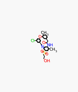 Cc1cc(S(=O)(=O)CCCO)ccc1NC(=O)Cc1ccc(C)c(Oc2cc(Cl)cc(C#N)c2)c1